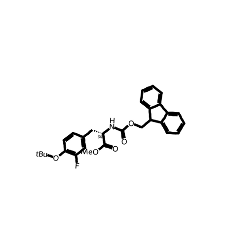 COC(=O)[C@H](Cc1ccc(OC(C)(C)C)c(F)c1)NC(=O)OCC1c2ccccc2-c2ccccc21